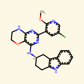 COc1ncc(F)cc1-c1nc2c(c(N[C@@H]3CCc4[nH]c5ccccc5c4C3)n1)OCCN2